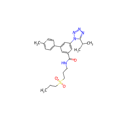 CCCS(=O)(=O)CCCNC(=O)c1cc(-c2ccc(C)cc2)cc(-n2nnnc2C(C)C)c1